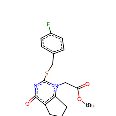 CC(C)(C)OC(=O)Cn1c(SCc2ccc(F)cc2)nc(=O)c2c1CCC2